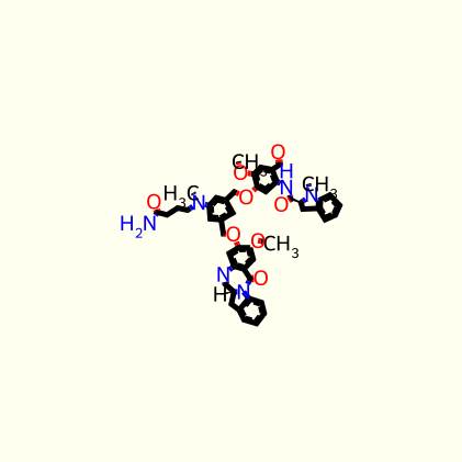 COc1cc2c(cc1OCc1cc(COc3cc(NC(=O)[C@@H]4Cc5ccccc5N4C)c(C=O)cc3OC)cc(N(C)CCCC(N)=O)c1)N=C[C@@H]1Cc3ccccc3N1C2=O